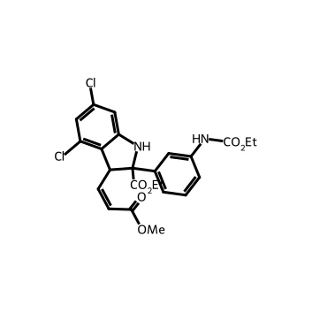 CCOC(=O)Nc1cccc(C2(C(=O)OCC)Nc3cc(Cl)cc(Cl)c3C2/C=C\C(=O)OC)c1